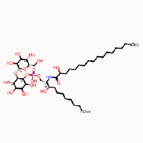 CCCCCCCCCCCCCCCCCCCCCCCCC(O)C(=O)N[C@@H](COP(=O)(O)O[C@H]1C(O)C(O)C(O)[C@@H](O)C1O[C@H]1O[C@H](CO)[C@@H](O)C(O)C1O)[C@H](O)CCCCCCCCCCCCCCCCC